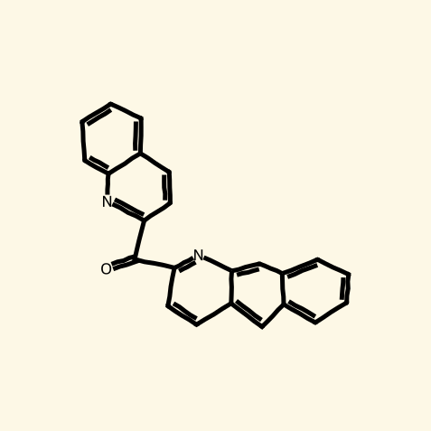 O=C(c1ccc2ccccc2n1)c1ccc2cc3ccccc3cc2n1